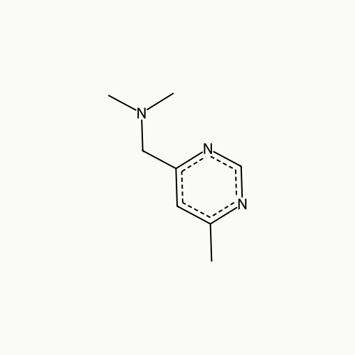 Cc1cc(CN(C)C)ncn1